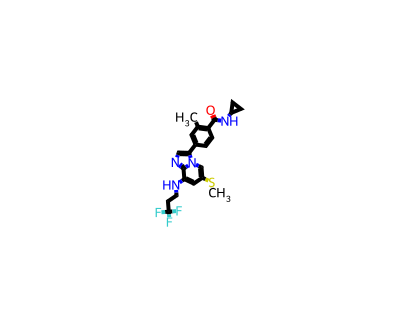 CSc1cc(NCCC(F)(F)F)c2ncc(-c3ccc(C(=O)NC4CC4)c(C)c3)n2c1